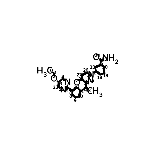 CCOc1cnc(-c2cccc(C(C)c3nn(-c4cccc(C(N)=O)c4)ccc3=O)c2)nc1